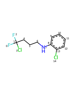 FC(F)(Cl)CCCNc1ccccc1Cl